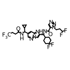 O=C(CCC(F)(F)F)NC(c1cnn2cc([C@@H](NC(=O)c3cnnn3CCC(F)F)C3CCC(F)(F)CC3)nc2c1)C1CC1